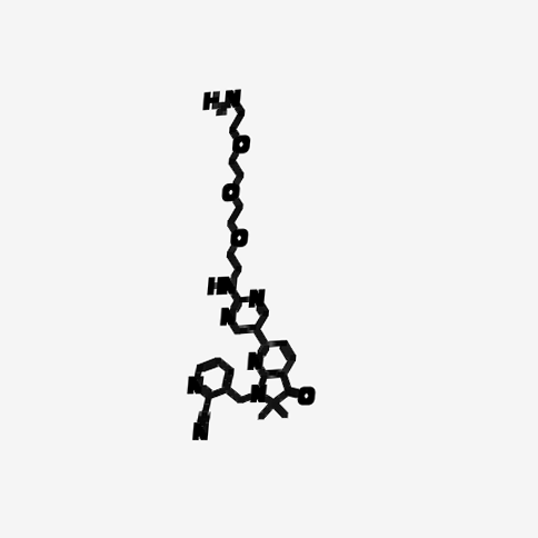 CC1(C)C(=O)c2ccc(-c3cnc(NCCOCCOCCOCCN)nc3)nc2N1Cc1cccnc1C#N